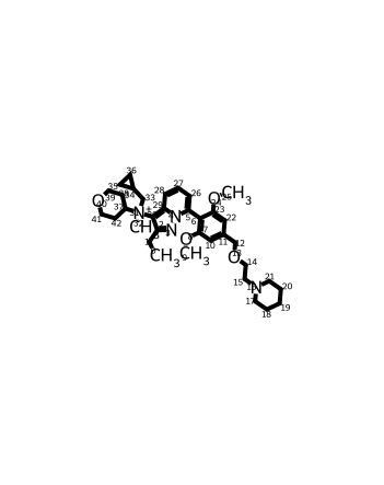 CCc1nn2c(-c3c(OC)cc(COCCN4CCCCC4)cc3OC)cccc2c1[N+](C)(CC1CC1)C1CCOCC1